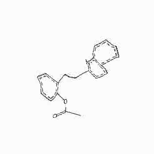 CC(=O)Oc1ccccc1CCc1ccc2ccccc2n1